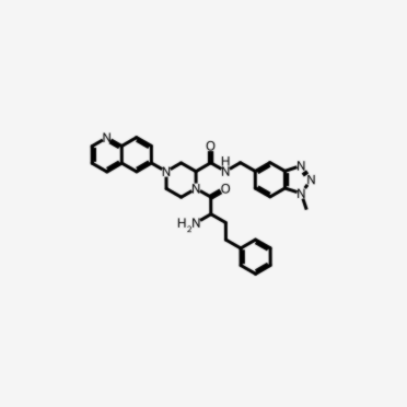 Cn1nnc2cc(CNC(=O)C3CN(c4ccc5ncccc5c4)CCN3C(=O)C(N)CCc3ccccc3)ccc21